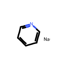 [Na].c1ccncc1